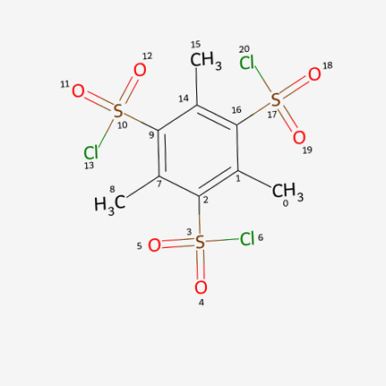 Cc1c(S(=O)(=O)Cl)c(C)c(S(=O)(=O)Cl)c(C)c1S(=O)(=O)Cl